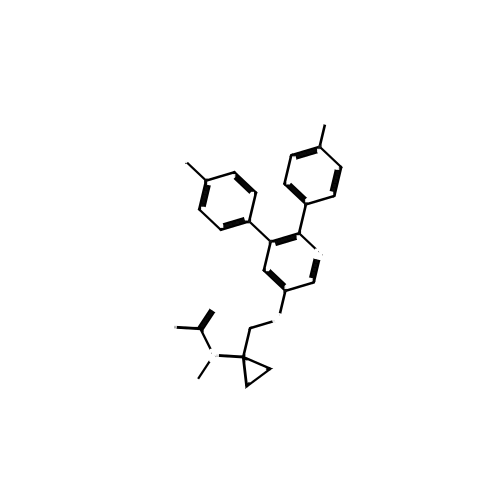 CN(C(=O)O)C1(COc2cnc(-c3ccc(Cl)cc3)c(-c3ccc(Cl)cc3)c2)CC1